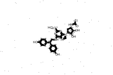 CCC(=O)N[C@H]1C[C@@H](n2cnc3c(NCC(c4ccc(O)cc4)c4ccc(O)cc4)nc(Cl)nc32)[C@H](O)[C@@H]1O.Cl